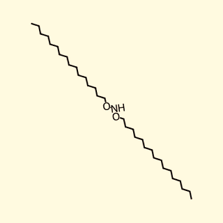 CCCCCCCCCCCCCCCCONOCCCCCCCCCCCCCCCC